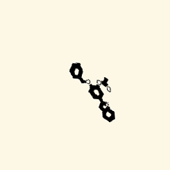 CC(=O)Oc1cc(-c2cc3ccccc3s2)ccc1OCc1ccccc1